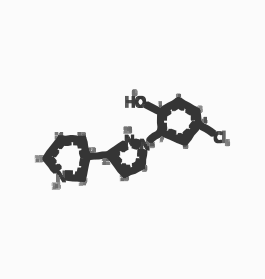 Oc1ccc(Cl)cc1-n1ccc(-c2cccnc2)n1